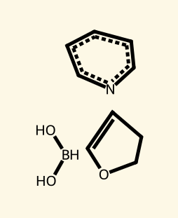 C1=COCC1.OBO.c1ccncc1